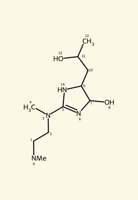 CNCCN(C)C1=NC(O)C(CC(C)O)N1